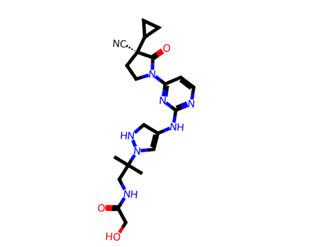 CC(C)(CNC(=O)CO)N1C=C(Nc2nccc(N3CC[C@@](C#N)(C4CC4)C3=O)n2)CN1